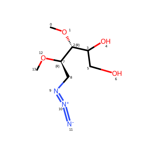 CO[C@H](C(O)CO)[C@@H](CN=[N+]=[N-])OC